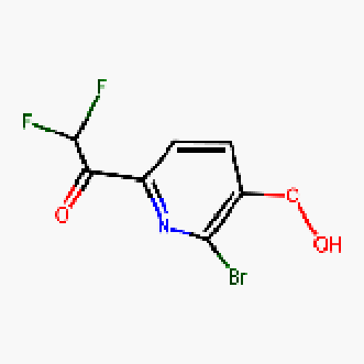 O=C(c1ccc(OO)c(Br)n1)C(F)F